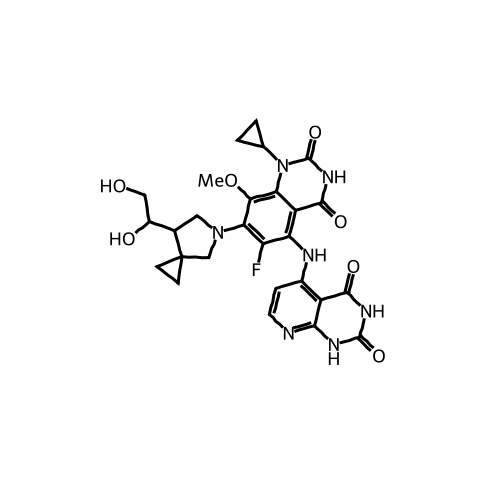 COc1c(N2CC(C(O)CO)C3(CC3)C2)c(F)c(Nc2ccnc3[nH]c(=O)[nH]c(=O)c23)c2c(=O)[nH]c(=O)n(C3CC3)c12